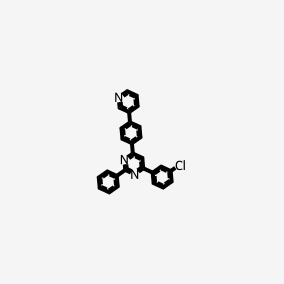 Clc1cccc(-c2cc(-c3ccc(-c4cccnc4)cc3)nc(-c3ccccc3)n2)c1